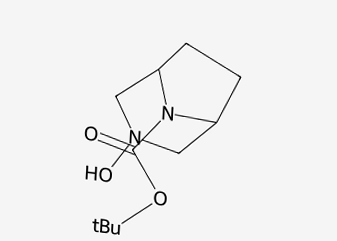 CC(C)(C)OC(=O)N1C2CCC1CN(O)C2